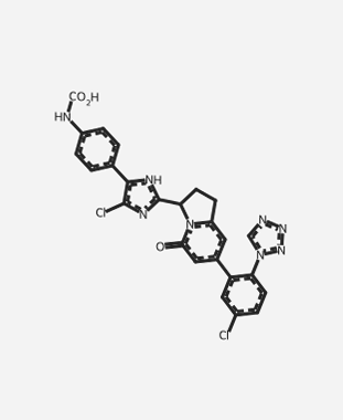 O=C(O)Nc1ccc(-c2[nH]c(C3CCc4cc(-c5cc(Cl)ccc5-n5cnnn5)cc(=O)n43)nc2Cl)cc1